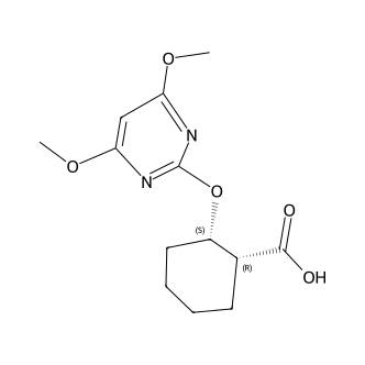 COc1cc(OC)nc(O[C@H]2CCCC[C@H]2C(=O)O)n1